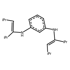 CC(C)C=C(Nc1cccc(NC(=CC(C)C)C(C)C)c1)C(C)C